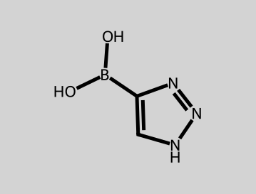 OB(O)c1c[nH]nn1